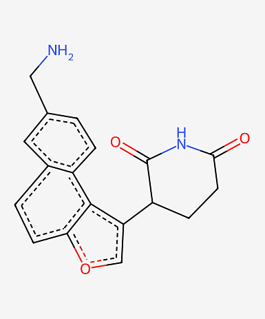 NCc1ccc2c(ccc3occ(C4CCC(=O)NC4=O)c32)c1